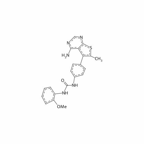 COc1ccccc1NC(=O)Nc1ccc(-c2c(C)sc3ncnc(N)c23)cc1